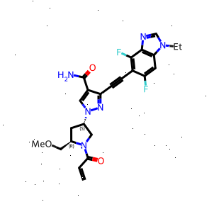 C=CC(=O)N1C[C@@H](n2cc(C(N)=O)c(C#Cc3c(F)cc4c(ncn4CC)c3F)n2)C[C@@H]1COC